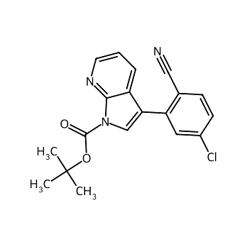 CC(C)(C)OC(=O)n1cc(-c2cc(Cl)ccc2C#N)c2cccnc21